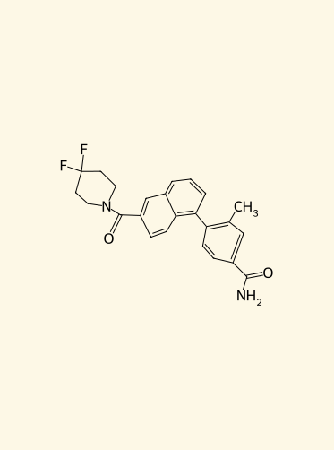 Cc1cc(C(N)=O)ccc1-c1cccc2cc(C(=O)N3CCC(F)(F)CC3)ccc12